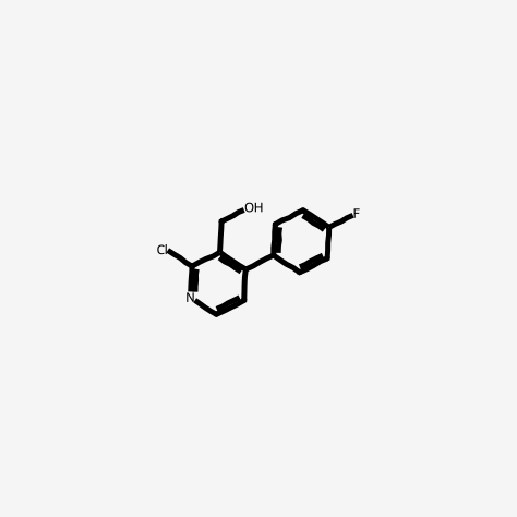 OCc1c(-c2ccc(F)cc2)ccnc1Cl